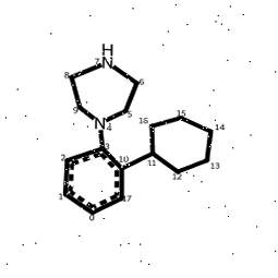 c1ccc(N2CCNCC2)c(C2CCCCC2)c1